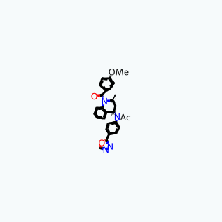 COc1ccc(C(=O)N2c3ccccc3[C@H](N(C(C)=O)c3ccc(-c4nnco4)cc3)C[C@@H]2C)cc1